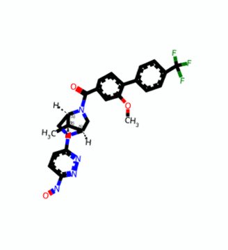 COc1cc(C(=O)N2C[C@@H]3[C@@H](C)[C@H]2CN3c2ccc(N=O)nn2)ccc1-c1ccc(C(F)(F)F)cc1